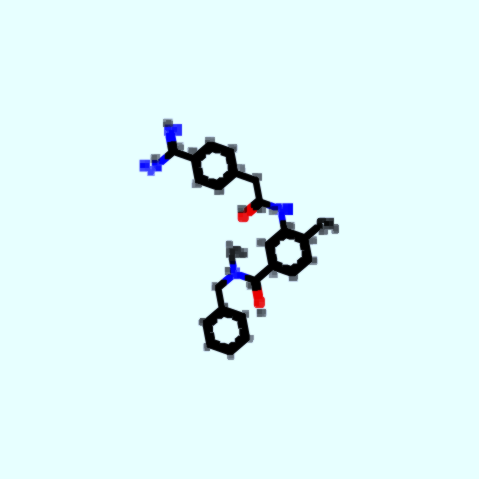 CCCCN(Cc1ccccc1)C(=O)c1ccc(C)c(NC(=O)Cc2ccc(C(=N)N)cc2)c1